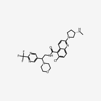 CN[C@H]1CCN(c2ccc3c(C(=O)NCC(c4cnc(C(F)(F)F)nc4)N4CCOCC4)c(Cl)ccc3n2)C1